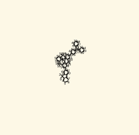 CC1(C)c2ccccc2-c2ccc(-c3cc4c5c(c3)C(C)(C)c3cc(-c6ccc(N(c7ccccc7)c7ccccc7)cc6)cc6c3N5c3c(cccc3C4(C)C)C6(C)C)cc21